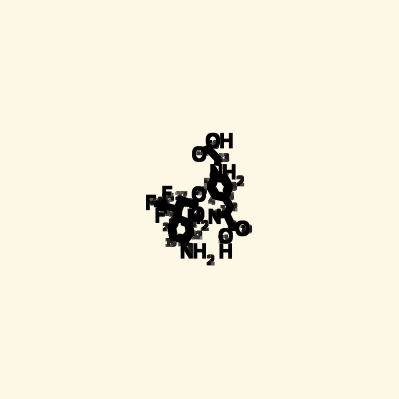 NC(Cc1ccccc1)C(=O)O.NCC(=O)O.Nc1ccc2c(C(F)(F)F)cc(=O)oc2c1